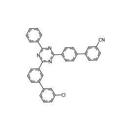 N#Cc1cccc(-c2ccc(-c3nc(-c4ccccc4)nc(-c4cccc(-c5cccc(Cl)c5)c4)n3)cc2)c1